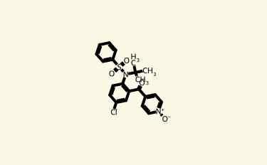 CC(C)(C)N(c1ccc(Cl)cc1C(=O)c1cc[n+]([O-])cc1)S(=O)(=O)c1ccccc1